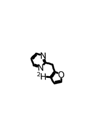 [2H]c1ccoc1Cc1ncccn1